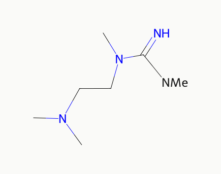 CNC(=N)N(C)CCN(C)C